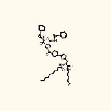 CCCCCCCCCC(=O)NC(Cc1ncc(-c2ccc(C(=O)N3C[C@@H](C(=O)N[C@H]4C[C@@H]4c4ccccc4)[C@H](C(=O)N[C@H]4C[C@@H]4c4ccccc4)C3)cc2)s1)C(=O)NCCCCCC